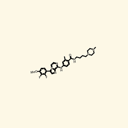 COc1ccc(-c2cnc3c(Nc4ccc(C(=O)NCCCCN5CCN(C)CC5)c(C)c4)nccn23)c(F)c1F